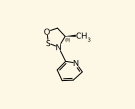 C[C@@H]1COSN1c1ccccn1